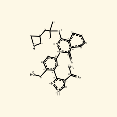 CC(C)(CC1CNC1)Oc1nn(-c2ccc(CO)c(-c3n[nH]cc3C(N)=O)c2)c(=O)c2ccccc12